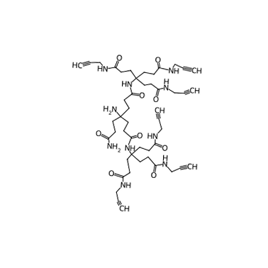 C#CCNC(=O)CCC(CCC(=O)NCC#C)(CCC(=O)NCC#C)NC(=O)CCC(N)(CCC(N)=O)CCC(=O)NC(CCC(=O)NCC#C)(CCC(=O)NCC#C)CCC(=O)NCC#C